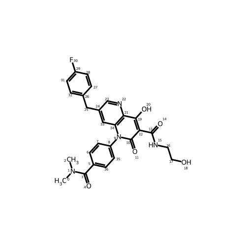 CN(C)C(=O)c1ccc(-n2c(=O)c(C(=O)NCCO)c(O)c3ncc(Cc4ccc(F)cc4)cc32)cc1